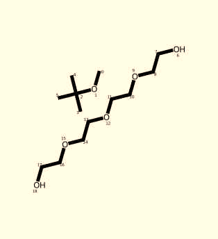 COC(C)(C)C.OCCOCCOCCOCCO